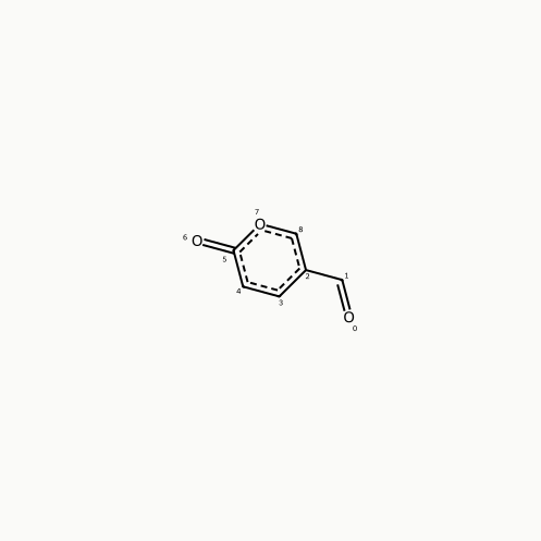 O=Cc1ccc(=O)oc1